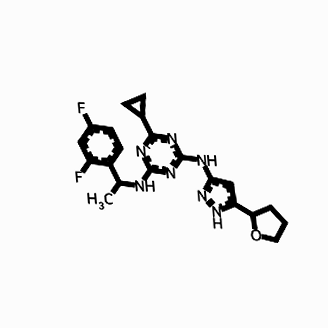 CC(Nc1nc(Nc2cc(C3CCCO3)[nH]n2)nc(C2CC2)n1)c1ccc(F)cc1F